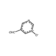 O=[C]c1cnc[n+]([O-])c1